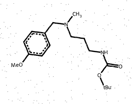 COc1ccc(CN(C)CCCNC(=O)OC(C)(C)C)cc1